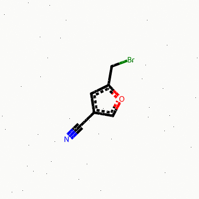 N#Cc1coc(CBr)c1